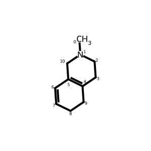 CN1CCC2=C(C=CCC2)C1